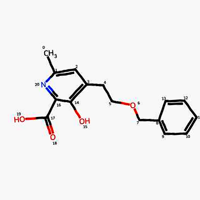 Cc1cc(CCOCc2ccccc2)c(O)c(C(=O)O)n1